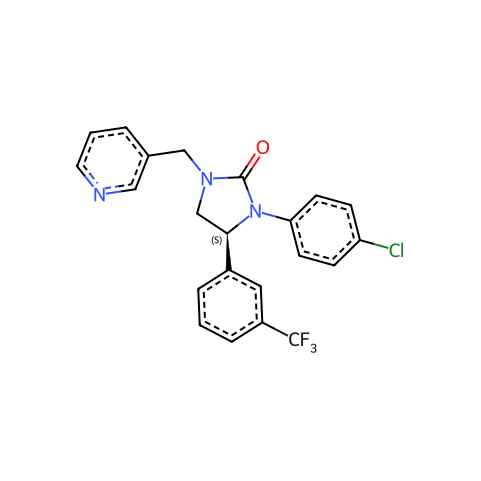 O=C1N(Cc2cccnc2)C[C@H](c2cccc(C(F)(F)F)c2)N1c1ccc(Cl)cc1